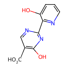 O=C(O)c1cnc(-c2ncccc2O)nc1O